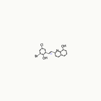 Oc1c(Br)cc(Cl)cc1/C=C/c1ccc2cccc(O)c2n1